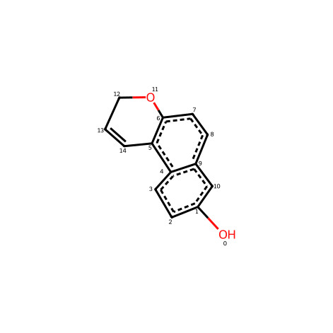 Oc1ccc2c3c(ccc2c1)OCC=C3